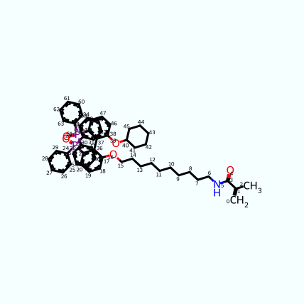 C=C(C)C(=O)NCCCCCCCCCCOc1cccc(P(=O)(c2ccccc2)c2ccccc2)c1-c1c(OC2CCCCC2)cccc1P(=O)(c1ccccc1)c1ccccc1